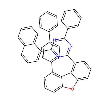 c1ccc(-c2ccc(-c3cccc4oc5cccc(-c6nc(-c7ccccc7)nc(-c7cccc8ccccc78)n6)c5c34)cc2)cc1